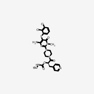 Cn1c(N2CCN(C(=O)[C@@H](Cc3ccncc3)OC(=O)NC(C)(C)C)CC2)nc(N)c(Sc2cccc(Cl)c2Cl)c1=O